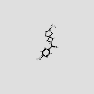 CN1CCC2(C1)CN(C(=O)c1ccc(C(C)(C)C)cc1)C2